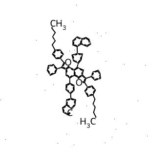 CCCCCCc1ccc(-c2oc3c(cc(-c4ccc(-c5cccc6ccccc56)cc4)c4c5oc(-c6ccc(CCCCCC)cc6)c(-c6ccccc6)c5cc(-c5ccc(-c6ccc7ccccc7c6)cc5)c34)c2-c2ccccc2)cc1